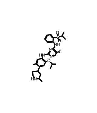 Cc1cc(Nc2ncc(Cl)c(Nc3ccccc3S(=O)(=O)C(C)C)n2)c(OC(C)C)cc1C1CCNC(C)C1